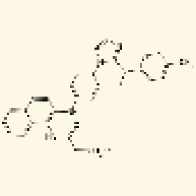 CCOC(=O)CC(=O)Nc1c(Nc2ccc(-n3ccnc3C(C)c3ccc(C(F)(F)F)cc3)cc2)ccc2ccccc12